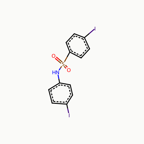 O=S(=O)(Nc1ccc(I)cc1)c1ccc(I)cc1